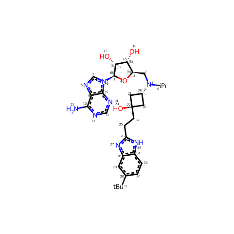 CC(C)N(C[C@H]1O[C@@H](n2cnc3c(N)ncnc32)[C@H](O)[C@@H]1O)[C@H]1C[C@@](O)(CCc2nc3cc(C(C)(C)C)ccc3[nH]2)C1